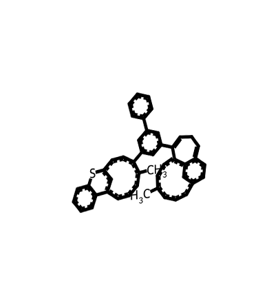 Cc1cccc2ccc3c(c2)c(cc1)C(c1cc(-c2ccccc2)cc(-c2ccc4cc(cccc2C)-c2ccccc2S4)c1)=CCC=3